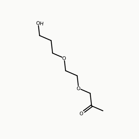 CC(=O)COCCOCCCO